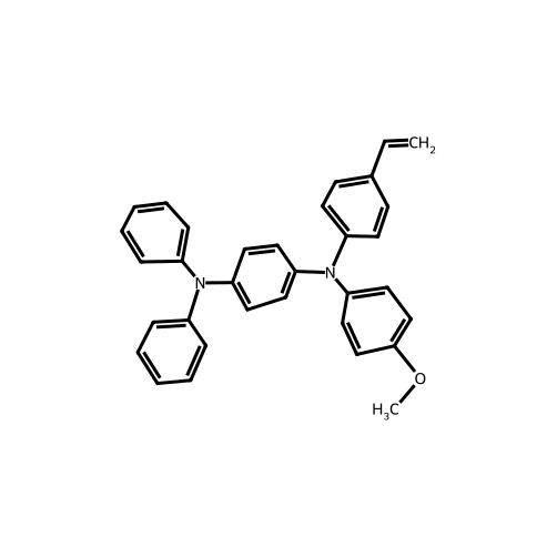 C=Cc1ccc(N(c2ccc(OC)cc2)c2ccc(N(c3ccccc3)c3ccccc3)cc2)cc1